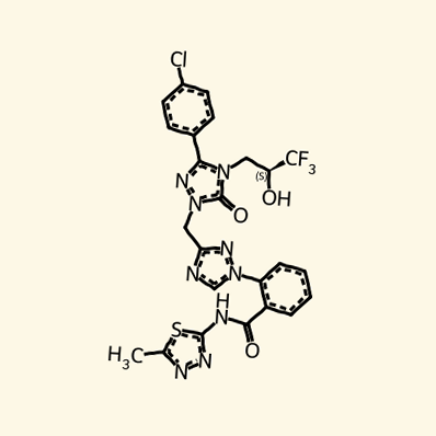 Cc1nnc(NC(=O)c2ccccc2-n2cnc(Cn3nc(-c4ccc(Cl)cc4)n(C[C@H](O)C(F)(F)F)c3=O)n2)s1